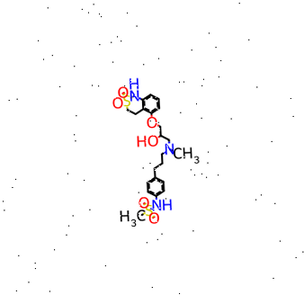 CN(CCCc1ccc(NS(C)(=O)=O)cc1)CC(O)COc1cccc2c1CCS(=O)(=O)N2